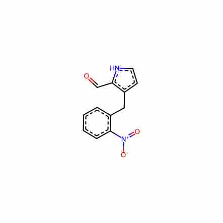 O=Cc1[nH]ccc1Cc1ccccc1[N+](=O)[O-]